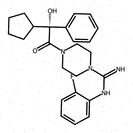 N=C(Nc1ccccc1F)N1CCN(C(=O)[C@](O)(c2ccccc2)C2CCCC2)CC1